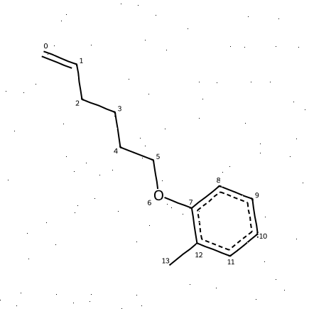 C=CCCCCOc1cc[c]cc1C